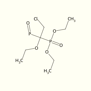 CCOC(CCl)(P=O)P(=O)(OCC)OCC